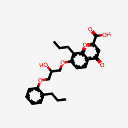 CCCc1ccccc1OCC(O)COc1ccc2c(=O)cc(C(=O)O)oc2c1CCC